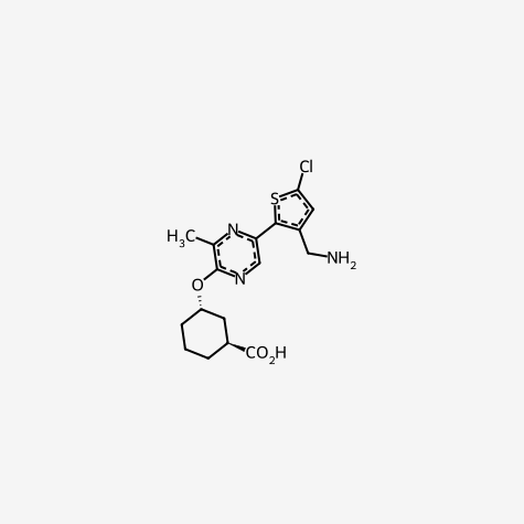 Cc1nc(-c2sc(Cl)cc2CN)cnc1O[C@H]1CCC[C@H](C(=O)O)C1